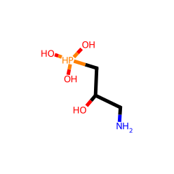 NCC(O)C[PH](O)(O)O